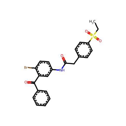 CCS(=O)(=O)c1ccc(CC(=O)Nc2ccc(Br)c(C(=O)c3ccccc3)c2)cc1